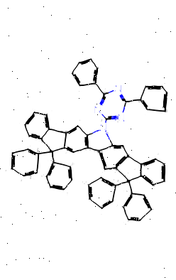 c1ccc(-c2nc(-c3ccccc3)nc(-n3c4cc5c(cc4c4cc6c(cc43)-c3ccccc3C6(c3ccccc3)c3ccccc3)C(c3ccccc3)(c3ccccc3)c3ccccc3-5)n2)cc1